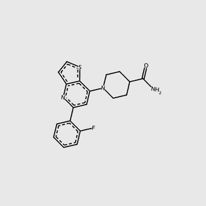 NC(=O)C1CCN(c2cc(-c3ccccc3F)nc3ccsc23)CC1